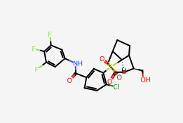 O=C1CC2CCC([C@@H](CO)C1)[C@H]2S(=O)(=O)c1cc(C(=O)Nc2cc(F)c(F)c(F)c2)ccc1Cl